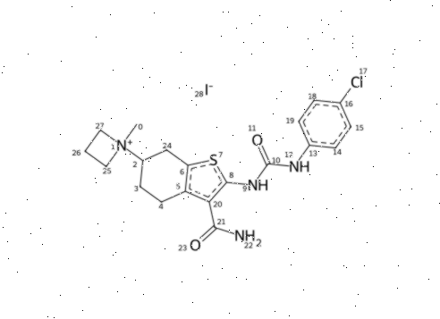 C[N+]1(C2CCc3c(sc(NC(=O)Nc4ccc(Cl)cc4)c3C(N)=O)C2)CCC1.[I-]